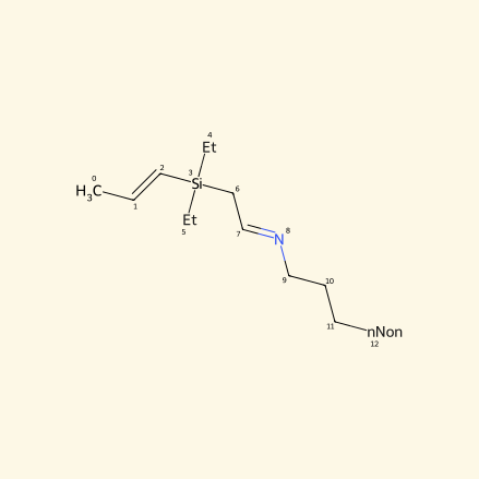 CC=C[Si](CC)(CC)CC=NCCCCCCCCCCCC